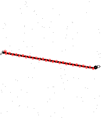 C=CC(=O)OCCOCCOCCOCCOCCOCCOCCOCCOCCOCCOCCOCCOCCOCCOCCOCCOCCOCCOCCOCCOCCOCCOCCOCCOCCOCCOc1ccc(C)cc1